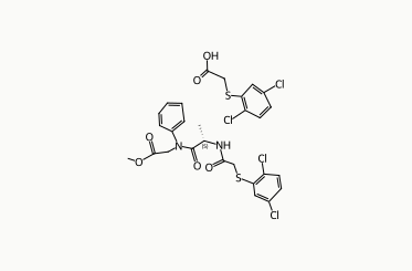 COC(=O)CN(C(=O)[C@H](C)NC(=O)CSc1cc(Cl)ccc1Cl)c1ccccc1.O=C(O)CSc1cc(Cl)ccc1Cl